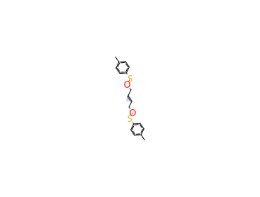 Cc1ccc(SOC/C=C/COSc2ccc(C)cc2)cc1